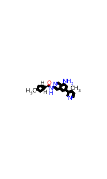 Cc1ccncc1-c1cc(N)c2cnc(NC(=O)[C@H]3[C@@H]4CC(C)C[C@@H]43)cc2c1